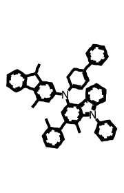 Cc1ccccc1-c1cc(N(C2=CC=C(c3ccccc3)CC2)c2cc(C)c3c(c2)C(C)c2ccccc2-3)c2c3ccccc3n(-c3ccccc3)c2c1C